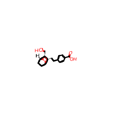 O=C(O)c1ccc(CC[C@@H]2C3CC[C@H](O3)[C@@H]2CO)cc1